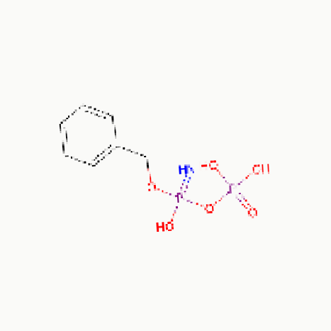 N=P(O)(OCc1ccccc1)OP(=O)(O)O